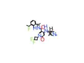 Cc1c(C(C)F)cccc1[C@@H](C)NC(=O)c1cn(C2CC(F)(F)C2)c(=O)cc1N[C@H]1[C@@H]2CN(C)C[C@@]21C